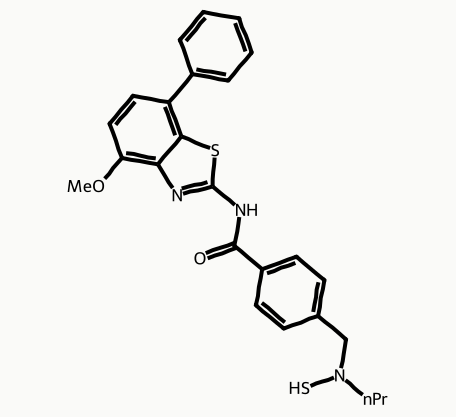 CCCN(S)Cc1ccc(C(=O)Nc2nc3c(OC)ccc(-c4ccccc4)c3s2)cc1